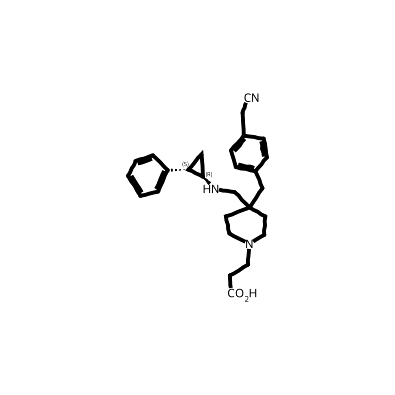 N#CCc1ccc(CC2(CN[C@@H]3C[C@H]3c3ccccc3)CCN(CCC(=O)O)CC2)cc1